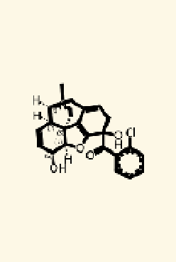 CN1CC[C@]23C4=C5O[C@H]2[C@@H](O)C=C[C@H]3[C@H]1CC4=CCC5(O)C(=O)c1ccccc1Cl